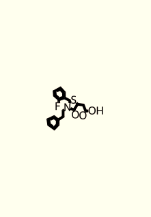 O=C(O)CC1SC(c2ccccc2F)N(CCc2ccccc2)C1=O